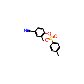 Cc1ccc(S(=O)(=O)Oc2ccc(C#N)cc2C)cc1